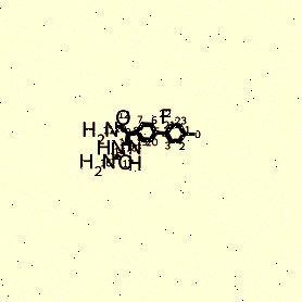 Cc1ccc(-c2ccc3c(C(N)=O)c(NC(N)=O)[nH]c3c2)c(F)c1